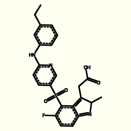 CCc1cccc(Nc2ccc(S(=O)(=O)c3c(F)ccc4c3=C(CC(=O)O)C(C)N=4)cn2)c1